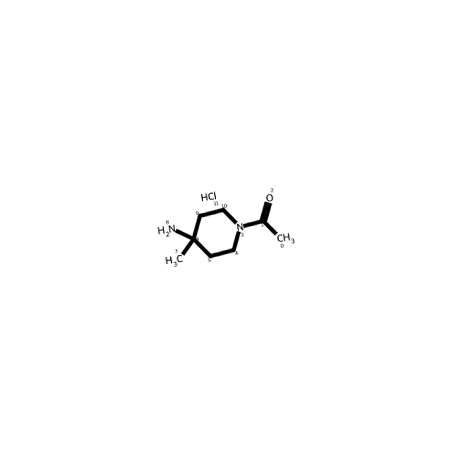 CC(=O)N1CCC(C)(N)CC1.Cl